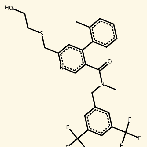 Cc1ccccc1-c1cc(CSCCO)ncc1C(=O)N(C)Cc1cc(C(F)(F)F)cc(C(F)(F)F)c1